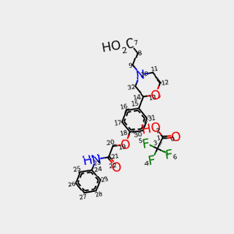 O=C(O)C(F)(F)F.O=C(O)CCN1CCOC(c2ccc(OCC(=O)Nc3ccccc3)cc2)C1